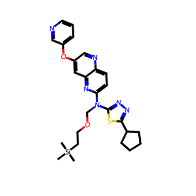 C[Si](C)(C)CCOCN(c1ccc2ncc(Oc3cccnc3)cc2n1)c1nnc(C2CCCC2)s1